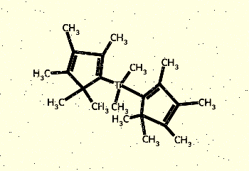 CC1=C(C)C(C)(C)[C]([Ti]([CH3])([CH3])[C]2=C(C)C(C)=C(C)C2(C)C)=C1C